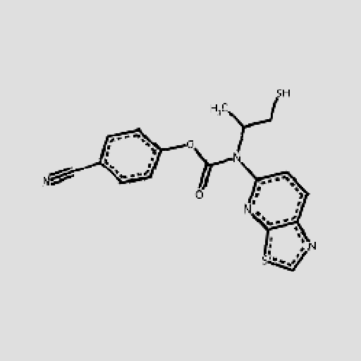 CC(CS)N(C(=O)Oc1ccc(C#N)cc1)c1ccc2ncsc2n1